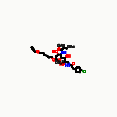 C#CCOCCCCCCO[C@]1(C(=O)O)C[C@H](O)[C@@H](NC(=O)C(COC(C)=O)OC(C)=O)[C@H]([C@H](O)[C@H](O)CNC(=O)Cc2ccc(Cl)cc2)O1